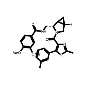 COc1ccc(C(=O)NC[C@@H]2C3C[C@@H]3CN2C(=O)c2nc(C)sc2-c2cccc(C)c2)cc1OC